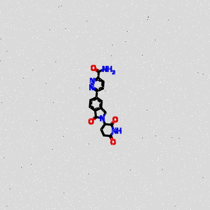 NC(=O)c1ccc(-c2ccc3c(c2)CN(C2CCC(=O)NC2=O)C3=O)nn1